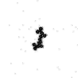 c1ccc(-c2ccc(N(c3ccccc3)c3ccccc3)cc2-c2ccc(-c3ccc4c(ccc5cc(-c6cc(N(c7ccccc7)c7ccccc7)ccc6-c6ccccc6)ccc54)c3)cc2)cc1